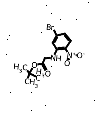 CC(C)(C)OC(=O)CNc1cc(Br)ccc1[N+](=O)[O-]